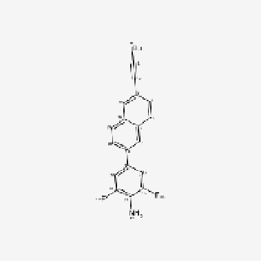 CCC(C)C#Cc1ccc2cc(-c3cc(F)c(N)c(F)c3)ccc2c1